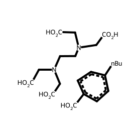 CCCCc1ccc(C(=O)O)cc1.O=C(O)CN(CCN(CC(=O)O)CC(=O)O)CC(=O)O